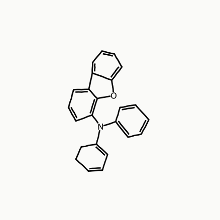 C1=CCCC(N(c2ccccc2)c2cccc3c2oc2ccccc23)=C1